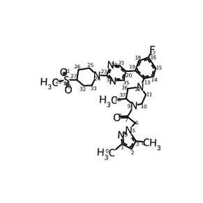 Cc1cc(C)n(CC(=O)N2CCN(c3ccc(F)cc3-c3cnc(N4CCC(S(C)(=O)=O)CC4)nc3)CC2C)n1